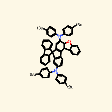 CC(C)(C)c1ccc(N(C2=CC3=C(c4ccc(N(c5ccc(C(C)(C)C)cc5)c5ccc(C(C)(C)C)cc5)cc4C34c3ccccc3-c3ccccc34)C3c4ccccc4OC23)c2ccc(C(C)(C)C)cc2)cc1